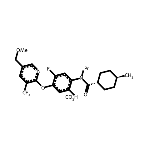 COCc1cnc(Oc2cc(C(=O)O)c(N(C(=O)[C@H]3CC[C@H](C)CC3)C(C)C)cc2F)c(C(F)(F)F)c1